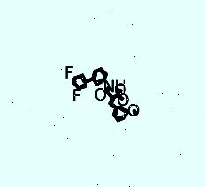 COc1cccc2cc(C(=O)Nc3cccc(-c4cc(F)cc(F)c4)c3)c(=O)oc12